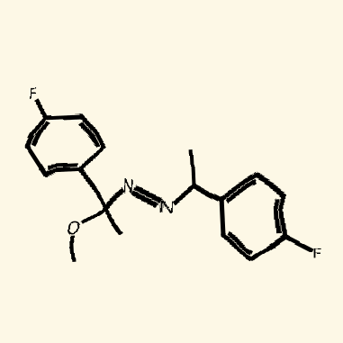 COC(C)(/N=N/C(C)c1ccc(F)cc1)c1ccc(F)cc1